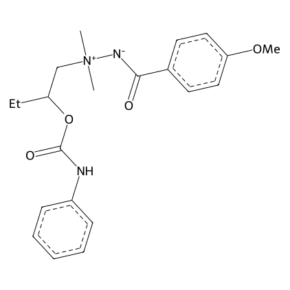 CCC(C[N+](C)(C)[N-]C(=O)c1ccc(OC)cc1)OC(=O)Nc1ccccc1